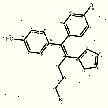 Oc1ccc(C(=C(CCCBr)C2=CC=CC2)c2ccc(O)cc2)cc1